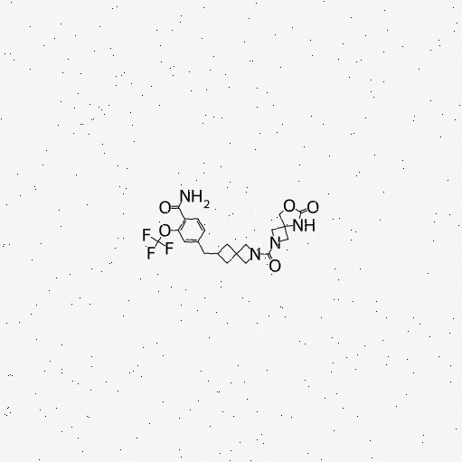 NC(=O)c1ccc(CC2CC3(C2)CN(C(=O)N2CC4(COC(=O)N4)C2)C3)cc1OC(F)(F)F